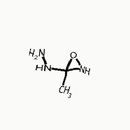 CC1(NN)NO1